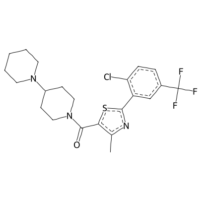 Cc1nc(-c2cc(C(F)(F)F)ccc2Cl)sc1C(=O)N1CCC(N2CCCCC2)CC1